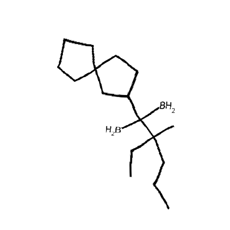 BC(B)(C1CCC2(CCCC2)C1)C(C)(CC)CCC